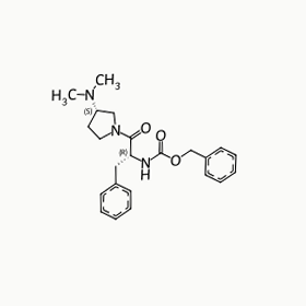 CN(C)[C@H]1CCN(C(=O)[C@@H](Cc2ccccc2)NC(=O)OCc2ccccc2)C1